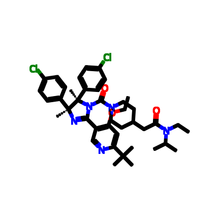 CCOc1cc(C(C)(C)C)ncc1C1=N[C@@](C)(c2ccc(Cl)cc2)[C@@](C)(c2ccc(Cl)cc2)N1C(=O)N1CCC(CC(=O)N(CC)C(C)C)CC1